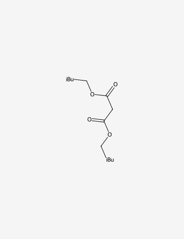 CCC(C)COC(=O)CC(=O)OCC(C)CC